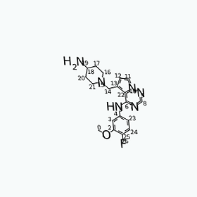 COc1cc(Nc2ncnn3ccc(CN4CCC(N)CC4)c23)ccc1F